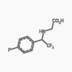 O=C(O)CNC(c1ccc(F)cc1)C(F)(F)F